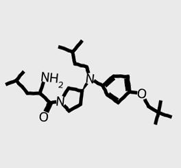 CC(C)CCN(c1ccc(OCC(C)(C)C)cc1)[C@H]1CCN(C(=O)C(N)CC(C)C)C1